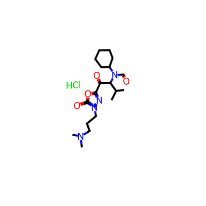 CC(C)C(C(=O)c1nn(CCCN(C)C)c(=O)o1)N(C=O)C1CCCCC1.Cl